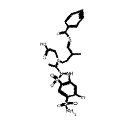 CC(CSC(=O)c1ccccc1)CN(CC(=O)O)C(C)N1Nc2cc(Cl)c(S(N)(=O)=O)cc2S1(=O)=O